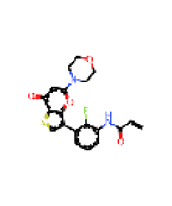 C=CC(=O)Nc1cccc(-c2csc3c(=O)cc(N4CCOCC4)oc23)c1F